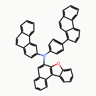 c1ccc2c(c1)ccc1ccc(N(c3ccc(-c4cccc5c4ccc4ccccc45)cc3)c3cc4ccccc4c4c3oc3ccccc34)cc12